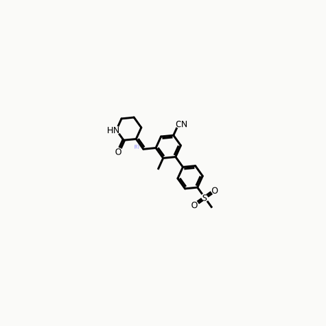 Cc1c(/C=C2\CCCNC2=O)cc(C#N)cc1-c1ccc(S(C)(=O)=O)cc1